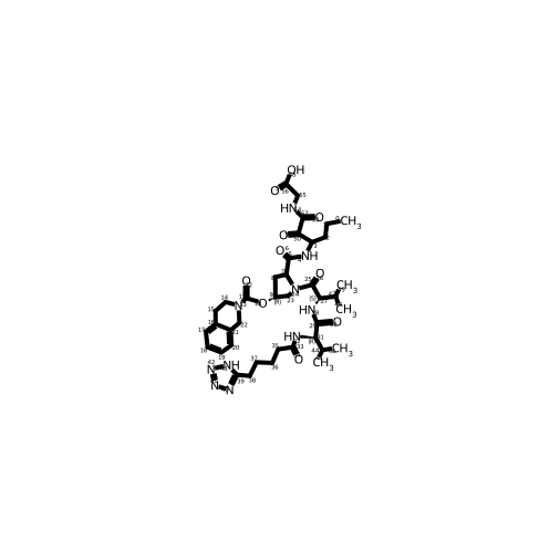 CCCC(NC(=O)C1C[C@@H](OC(=O)N2CCc3ccccc3C2)CN1C(=O)[C@@H](NC(=O)[C@H](NC(=O)CCCCc1nnn[nH]1)C(C)C)C(C)C)C(=O)C(=O)NCC(=O)O